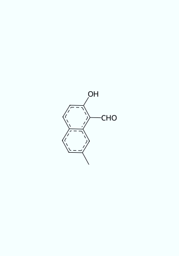 Cc1ccc2ccc(O)c(C=O)c2c1